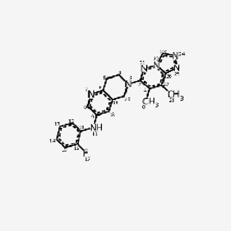 Cc1c(N2CCc3ncc(Nc4ccccc4F)cc3C2)nn2cnnc2c1C